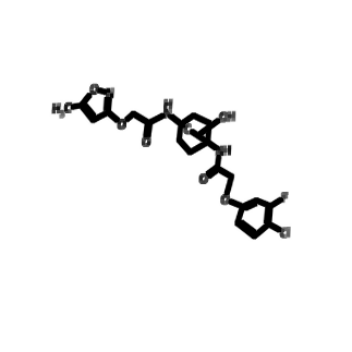 Cc1cc(OCC(=O)NC23CCC(NC(=O)COc4ccc(Cl)c(F)c4)(CC2)C(O)C3)no1